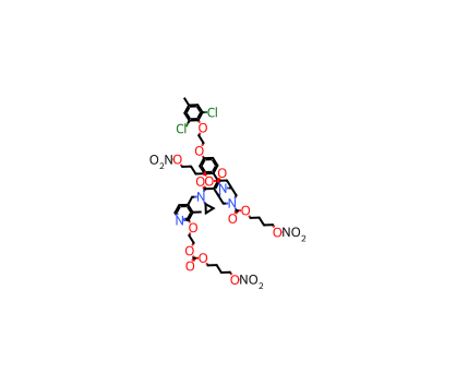 Cc1cc(Cl)c(OCCOc2ccc(C3=C(C(=O)N(Cc4ccnc(OCCOC(=O)OCCCCO[N+](=O)[O-])c4C)C4CC4)C4CN(C(=O)OCCCCO[N+](=O)[O-])CC(C3)N4C(=O)OCCCCO[N+](=O)[O-])cc2)c(Cl)c1